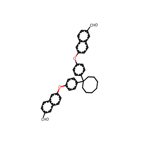 O=Cc1ccc2cc(Oc3ccc(C4(c5ccc(Oc6ccc7cc(C=O)ccc7c6)cc5)CCCCCCC4)cc3)ccc2c1